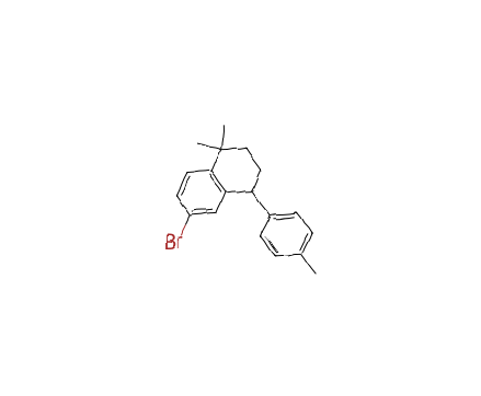 Cc1ccc(C2CCC(C)(C)c3ccc(Br)cc32)cc1